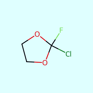 FC1(Cl)OCCO1